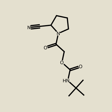 CC(C)(C)NC(=O)OCC(=O)N1CCCC1C#N